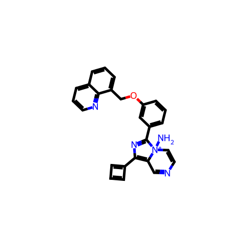 N[N+]12C=CN=CC1=C(C1=CC=C1)N=C2c1cccc(OCc2cccc3cccnc23)c1